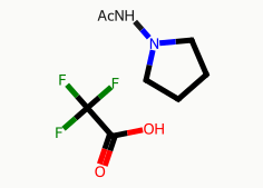 CC(=O)NN1CCCC1.O=C(O)C(F)(F)F